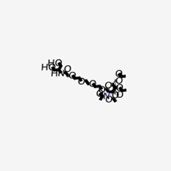 CC(=O)/N=C1\[C@H](OCCOCCOCCOCC(=O)NC(CO)CO)O[C@H](COC(C)=O)[C@H](OC(C)=O)[C@@H]1OC(C)=O